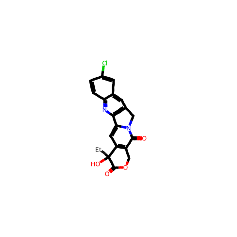 CCC1(O)C(=O)OCc2c1cc1n(c2=O)Cc2cc3cc(Cl)ccc3nc2-1